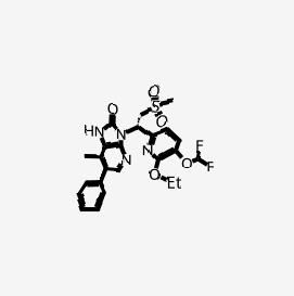 CCOc1nc([C@@H](CS(C)(=O)=O)n2c(=O)[nH]c3c(C)c(-c4ccccc4)cnc32)ccc1OC(F)F